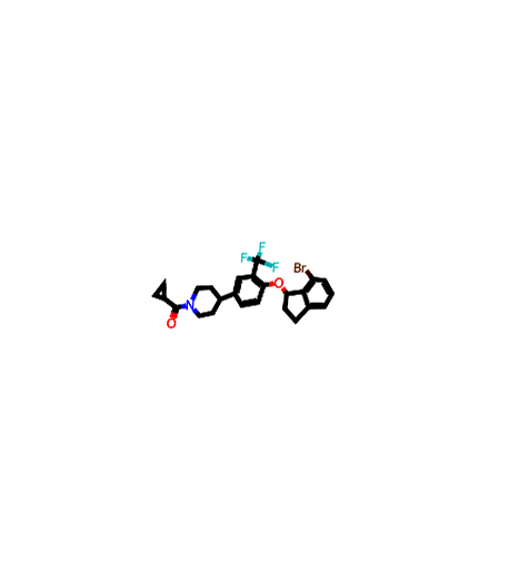 O=C(C1CC1)N1CCC(c2ccc(OC3CCc4cccc(Br)c43)c(C(F)(F)F)c2)CC1